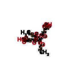 CCSCC(=O)OCC(COC(=O)CSCC)(COC(=O)CSCCS(=O)(=O)O)COC(=O)CSCCS(=O)(=O)O